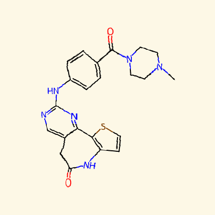 CN1CCN(C(=O)c2ccc(Nc3ncc4c(n3)-c3sccc3NC(=O)C4)cc2)CC1